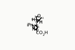 CC(C)n1nc(C(=O)O)cc1[C@H]1[C@@H]2COC[C@@H]21